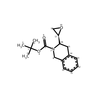 CC(C)(C)OC(=O)N1Cc2ccccc2CC1[C@H]1CO1